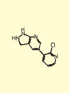 Clc1ncccc1-c1cnc2c(c1)CNN2